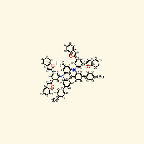 Cc1cc2c3c(c1)N(c1cc(-c4cc5c(o4)CCC=C5)cc(-c4cc5ccccc5o4)c1)c1cc(-c4ccc(C(C)(C)C)cc4)ccc1B3c1ccc(-c3ccc(C(C)(C)C)cc3)cc1N2c1cc(-c2cc3c(o2)CCC=C3)cc(-c2cc3ccccc3o2)c1